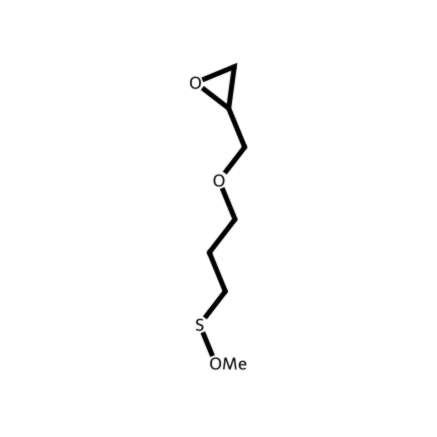 COSCCCOCC1CO1